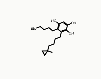 CC(C)(C)CCCCc1c(O)cc(O)c(O)c1CCCCC1(C)CC1